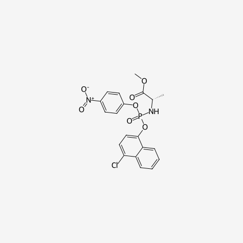 COC(=O)[C@H](C)NP(=O)(Oc1ccc([N+](=O)[O-])cc1)Oc1ccc(Cl)c2ccccc12